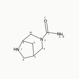 NC(=O)N1CC2CNC(C2)C1